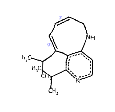 CC(C)/C1=C/C=C\CNc2ccnc(C(C)C)c21